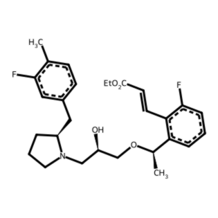 CCOC(=O)/C=C/c1c(F)cccc1[C@@H](C)OC[C@H](O)CN1CCC[C@H]1Cc1ccc(C)c(F)c1